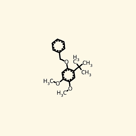 COc1cc(OCc2ccccc2)c(C(C)(C)C)cc1OC